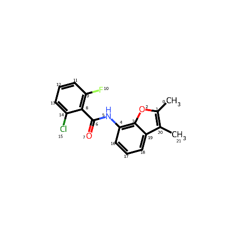 Cc1oc2c(NC(=O)c3c(F)cccc3Cl)cccc2c1C